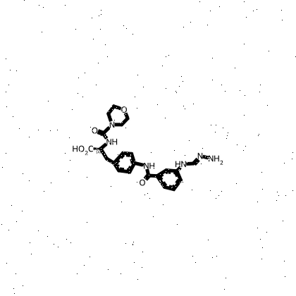 NN=CNc1cccc(C(=O)Nc2ccc(C[C@H](NC(=O)N3CCOCC3)C(=O)O)cc2)c1